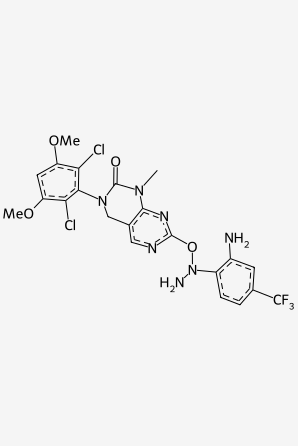 COc1cc(OC)c(Cl)c(N2Cc3cnc(ON(N)c4ccc(C(F)(F)F)cc4N)nc3N(C)C2=O)c1Cl